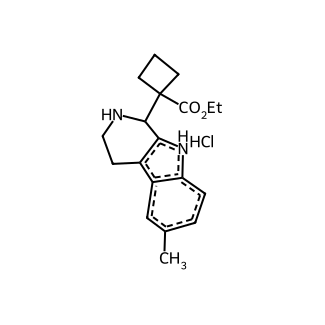 CCOC(=O)C1(C2NCCc3c2[nH]c2ccc(C)cc32)CCC1.Cl